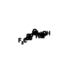 O=C(N1CC2(CCC(S(=O)(=O)c3ccc(C(F)(F)F)cc3)CC2)C1)N1CC2(CC(c3nc(C4(O)CC4)n[nH]3)C2)C1